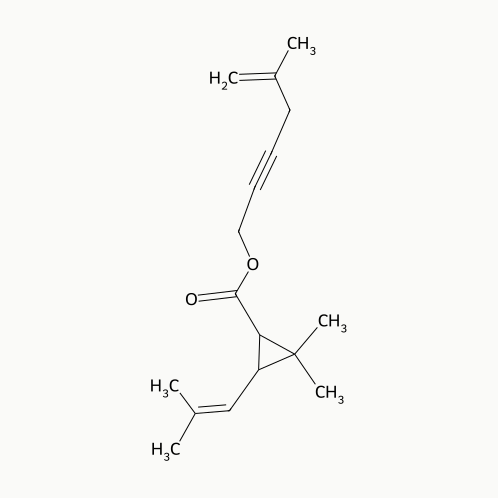 C=C(C)CC#CCOC(=O)C1C(C=C(C)C)C1(C)C